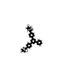 CC1(C)COC(c2ccc(-c3cc(-c4ccccc4)cc(-c4ccc(C5=NC(C)(C)CO5)cc4)c3)cc2)=N1